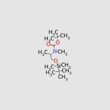 CC(CO[Si](C)(C)C(C)(C)C)N(C)C(=O)OC(C)(C)C